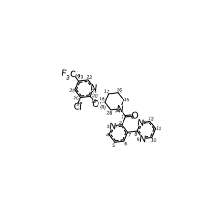 O=C(c1ncccc1-c1ncccn1)N1CCC[C@@H](Oc2ncc(C(F)(F)F)cc2Cl)C1